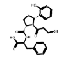 O=C(O)C(Cc1ccccc1)NC(=O)[C@@H]1CS[C@H](c2ccccc2O)N1C(=O)CCS